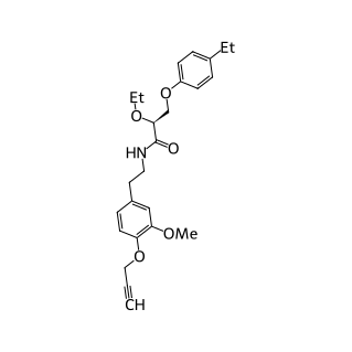 C#CCOc1ccc(CCNC(=O)[C@H](COc2ccc(CC)cc2)OCC)cc1OC